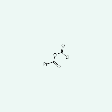 CC(C)C(=O)OC(=O)Cl